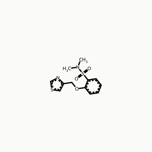 CN(C)S(=O)(=O)c1ccccc1OCc1cscn1